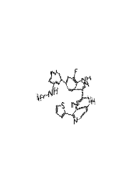 CC(C)Nc1cncc(-c2cc(F)c3[nH]nc(-c4nc5c(-c6cccs6)nccc5[nH]4)c3c2)c1